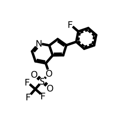 O=S(=O)(OC1=CC=NC2C=C(c3ccccc3F)C=C12)C(F)(F)F